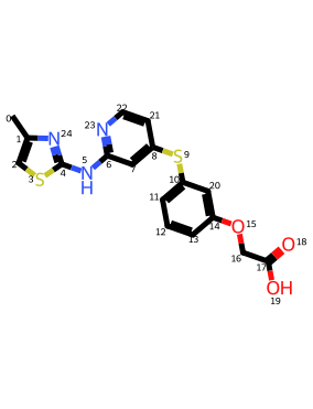 Cc1csc(Nc2cc(Sc3cccc(OCC(=O)O)c3)ccn2)n1